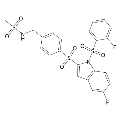 CS(=O)(=O)NCc1ccc(S(=O)(=O)c2cc3cc(F)ccc3n2S(=O)(=O)c2ccccc2F)cc1